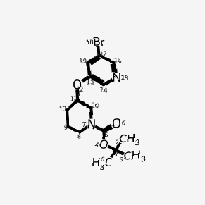 CC(C)(C)OC(=O)N1CCCC(Oc2cncc(Br)c2)C1